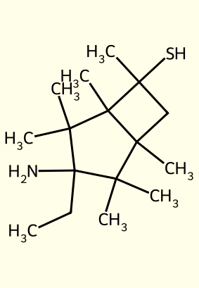 CCC1(N)C(C)(C)C2(C)CC(C)(S)C2(C)C1(C)C